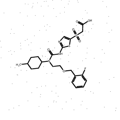 CC1CCC(N(CCOCc2ccccc2F)C(=O)Nc2ncc(S(=O)(=O)CC(=O)O)s2)CC1